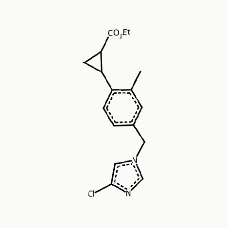 CCOC(=O)C1CC1c1ccc(Cn2cnc(Cl)c2)cc1C